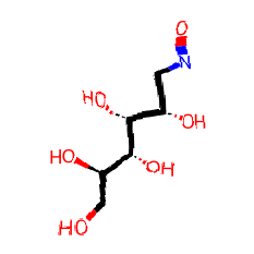 O=NC[C@H](O)[C@@H](O)[C@H](O)[C@H](O)CO